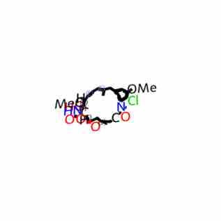 COc1cc2cc(c1Cl)N(C)C(=O)CC[C@@]1(C)CC(C)(O1)[C@@H]1C[C@@](O)(NC(=O)O1)[C@H](OC)/C=C/C=C(\C)C2